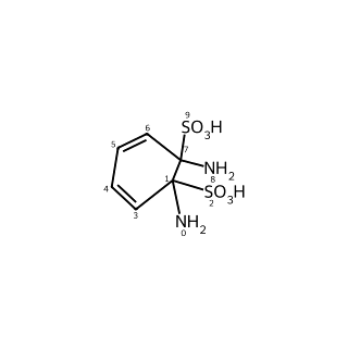 NC1(S(=O)(=O)O)C=CC=CC1(N)S(=O)(=O)O